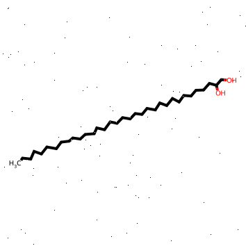 CCCCCCCCCCCCCCCCCCCCCCCCCCCCCCCCC(O)CO